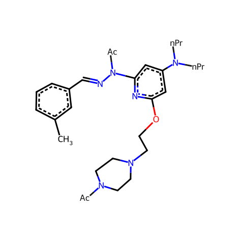 CCCN(CCC)c1cc(OCCN2CCN(C(C)=O)CC2)nc(N(/N=C/c2cccc(C)c2)C(C)=O)c1